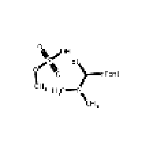 CCCCCC(CC)N(C)C.COS(=O)(=O)O